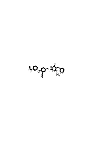 Cc1nc(SCc2ccc(Oc3cccc(C(F)(F)F)c3)c(C#N)c2)[nH]c(=O)c1Cc1cncnc1